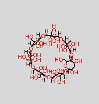 OCC1O[C@H]2O[C@H]3C(CO)O[C@@H](O[C@H]4C(CO)O[C@@H](O[C@H]5C(CO)O[C@@H](O[C@H]6C(CO)O[C@@H](O[C@H]7C(CO)O[C@@H](O[C@H]8C(CO)O[C@@H](O[C@@H]1C(O)CC2O)C(O)C8O)C(O)C7O)C(O)C6O)C(O)C5O)C(O)C4O)C(O)C3O